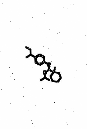 CCC(C)c1ccc(OC(OC(C)C)C2(C)CCCCC2)cc1